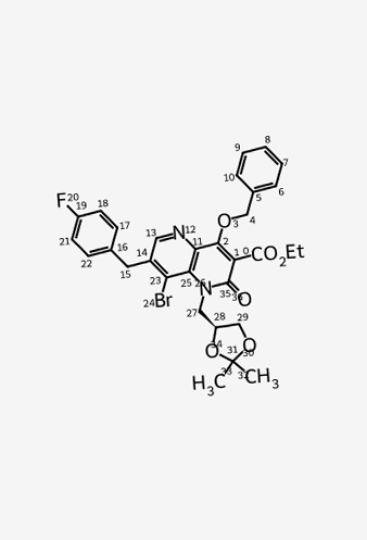 CCOC(=O)c1c(OCc2ccccc2)c2ncc(Cc3ccc(F)cc3)c(Br)c2n(C[C@H]2COC(C)(C)O2)c1=O